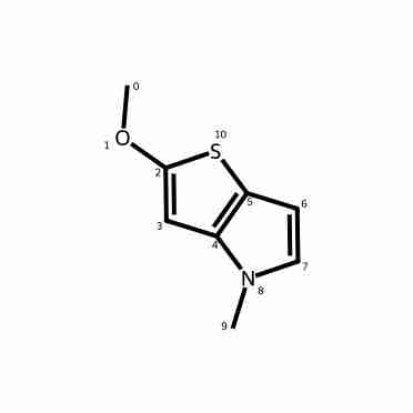 COc1cc2c(ccn2C)s1